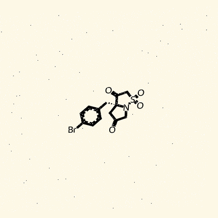 O=C1CN2[C@@](Cc3ccc(Br)cc3)(C1)C(=O)CS2(=O)=O